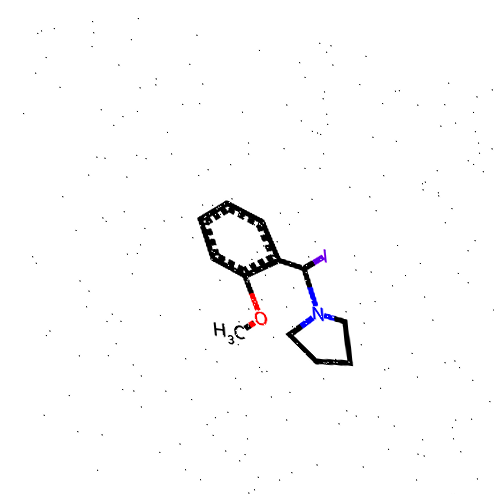 COc1ccccc1C(I)N1CCCC1